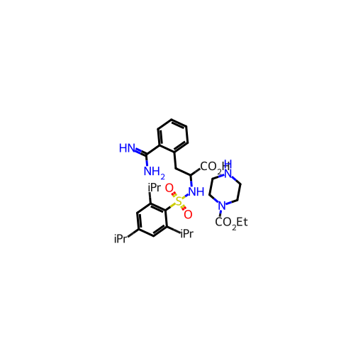 CC(C)c1cc(C(C)C)c(S(=O)(=O)NC(Cc2ccccc2C(=N)N)C(=O)O)c(C(C)C)c1.CCOC(=O)N1CCNCC1